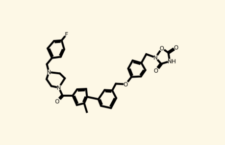 Cc1cc(C(=O)N2CCN(Cc3ccc(F)cc3)CC2)ccc1-c1cccc(COc2ccc(Cn3oc(=O)[nH]c3=O)cc2)c1